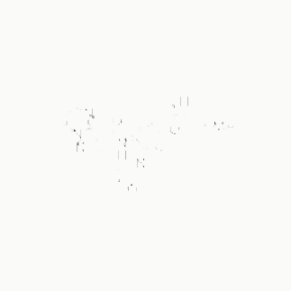 CSCCC1(C)Cc2cc(NC(=O)c3cnn4cccnc34)c(N3CCOCC3)cc2O1